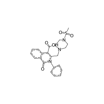 CS(=O)(=O)N1CCN(Cc2c(C(=O)O)c3ccccc3c(=O)n2-c2ccccc2)CC1